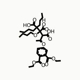 CCCCOC(C(=O)O)(C(C(C)=O)C(=O)O)C(CCCC)(CCCC)C(=O)O.CCOC(=O)c1ccccc1C(=O)OCC